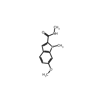 CNC(=O)c1cc2ccc(OC)cc2n1C